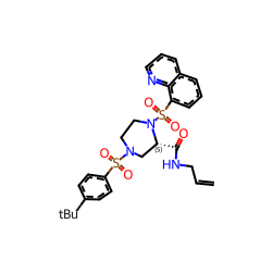 C=CCNC(=O)[C@@H]1CN(S(=O)(=O)c2ccc(C(C)(C)C)cc2)CCN1S(=O)(=O)c1cccc2cccnc12